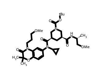 COCCCN1C(=O)C(C)(C)Oc2ccc(N(C(=O)[C@@H]3C[C@H](C(=O)N[C@H](C)COC)CN(C(=O)OC(C)(C)C)C3)C3CC3)cc21